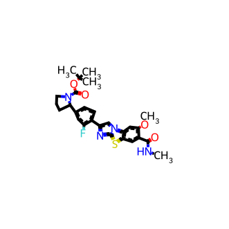 CNC(=O)c1cc2sc3nc(-c4ccc(C5CCCN5C(=O)OC(C)(C)C)cc4F)cn3c2cc1OC